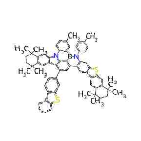 Cc1ccc(N2B3c4cc(C)ccc4-n4c5cc6c(cc5c5c(-c7ccc8c(c7)sc7ccccc78)cc(c3c54)-c3cc4c(cc32)sc2cc3c(cc24)C(C)(C)CCC3(C)C)C(C)(C)CCC6(C)C)cc1